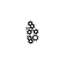 C1=C\CC/C=C\CC/1.[Rh][c]1c(P(c2ccccc2)c2ccccc2)ccc2ccccc12.c1ccc2cnccc2c1